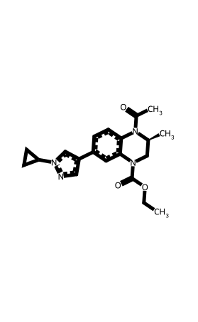 CCOC(=O)N1C[C@H](C)N(C(C)=O)c2ccc(-c3cnn(C4CC4)c3)cc21